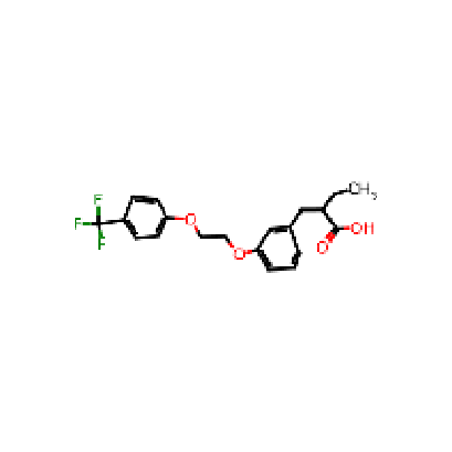 CCC(Cc1cccc(OCCOc2ccc(C(F)(F)F)cc2)c1)C(=O)O